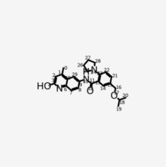 Cc1cc(O)nc2ccc(NC(=O)c3cc(COC(C)C)ccc3N3CCCC3)cc12